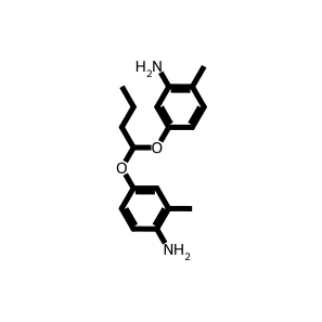 CCCC(Oc1ccc(N)c(C)c1)Oc1ccc(C)c(N)c1